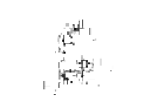 Cc1nc(OC[C@H]2C[C@@H]2c2ccc(C(C)(C)O)cn2)cc(N(C)c2nnc(C)s2)n1